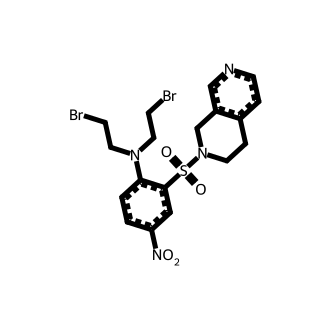 O=[N+]([O-])c1ccc(N(CCBr)CCBr)c(S(=O)(=O)N2CCc3ccncc3C2)c1